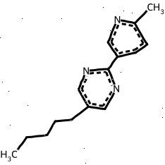 CCCCCc1cnc(-c2ccc(C)nc2)nc1